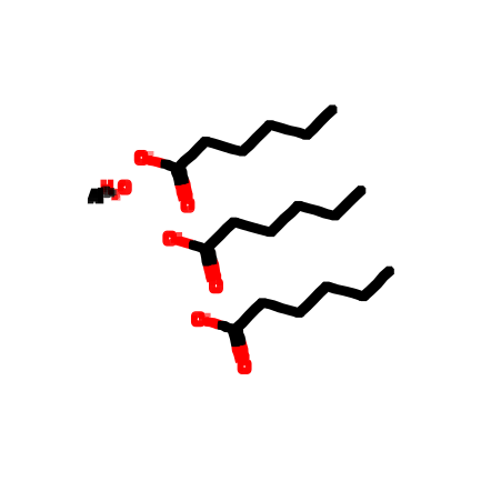 CCCCCC(=O)[O-].CCCCCC(=O)[O-].CCCCCC(=O)[O-].O.[Al+3]